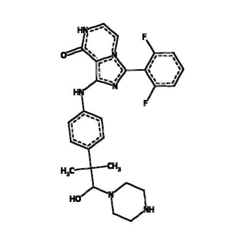 CC(C)(c1ccc(Nc2nc(-c3c(F)cccc3F)n3cc[nH]c(=O)c23)cc1)C(O)N1CCNCC1